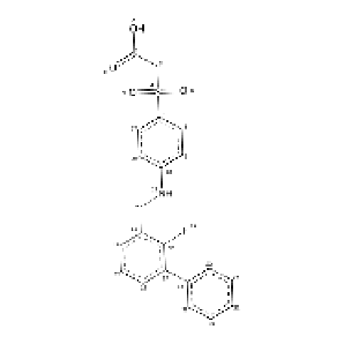 O=C(O)CS(=O)(=O)c1ccc(NCc2cccc(-c3ccccc3)c2F)cc1